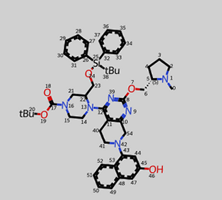 CN1CCC[C@H]1COc1nc2c(c(N3CCN(C(=O)OC(C)(C)C)CC3CO[Si](c3ccccc3)(c3ccccc3)C(C)(C)C)n1)CCN(c1cc(O)cc3ccccc13)C2